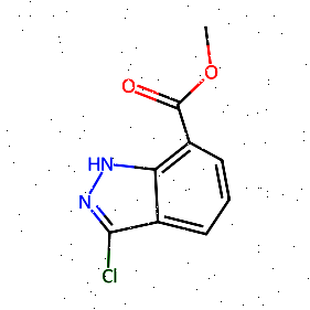 COC(=O)c1cccc2c(Cl)n[nH]c12